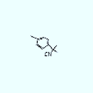 [C-]#[N+]C(C)(C)c1ccc(C)cc1